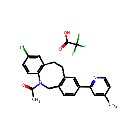 CC(=O)N1Cc2ccc(-c3cc(C)ccn3)cc2CCc2cc(Cl)ccc21.O=C(O)C(F)(F)F